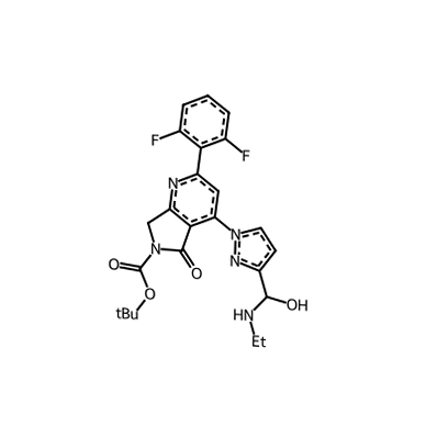 CCNC(O)c1ccn(-c2cc(-c3c(F)cccc3F)nc3c2C(=O)N(C(=O)OC(C)(C)C)C3)n1